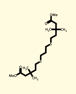 COC(=O)CC(C)(C)CCSCCCSCCC(C)(C)CC(=O)OC